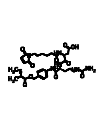 CSC(C)C(=O)OCc1ccc(NC(=O)[C@H](CCCNC(N)=O)NC(=O)[C@H](CC(=O)O)NC(=O)CCCCCN2C(=O)C=CC2=O)cc1